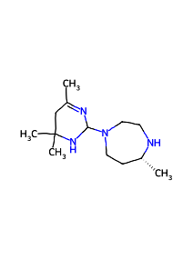 CC1=NC(N2CCN[C@H](C)CC2)NC(C)(C)C1